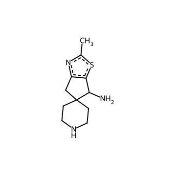 Cc1nc2c(s1)C(N)C1(CCNCC1)C2